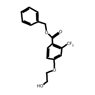 O=C(OCc1ccccc1)c1ccc(OCCO)cc1C(F)(F)F